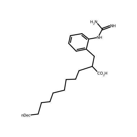 CCCCCCCCCCCCCCCCCCC(Cc1ccccc1NC(=N)N)C(=O)O